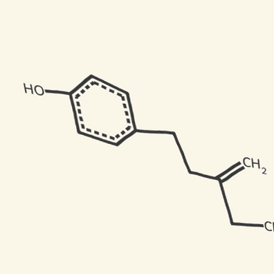 C=C(CC)CCc1ccc(O)cc1